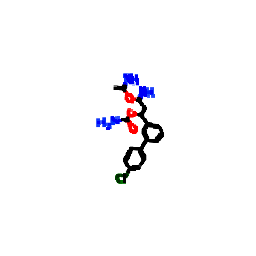 CC(=N)OC(=N)CC(OC(N)=O)c1cccc(-c2ccc(Cl)cc2)c1